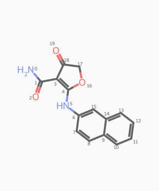 NC(=O)C1=C(Nc2ccc3ccccc3c2)OCC1=O